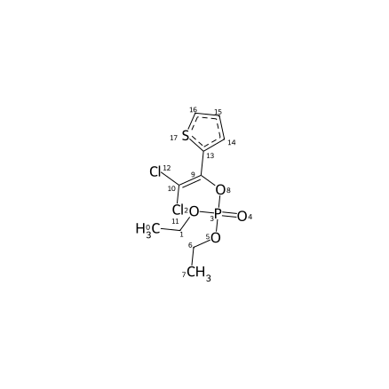 CCOP(=O)(OCC)OC(=C(Cl)Cl)c1cccs1